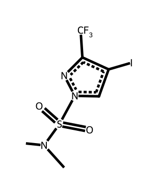 CN(C)S(=O)(=O)n1cc(I)c(C(F)(F)F)n1